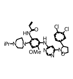 C=CC(=O)Nc1cc(Nc2cc(N3OCCC3c3ccc(Cl)c(Cl)c3)ncn2)c(OC)cc1N1CCN(C(C)C)CC1